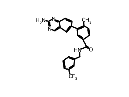 Cc1ccc(C(=O)NCc2cccc(C(F)(F)F)c2)cc1-c1ccc2nc(N)ncc2c1